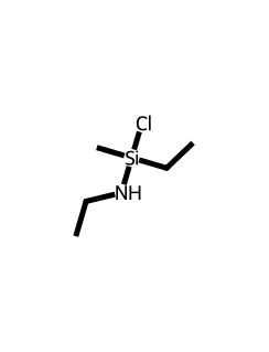 CCN[Si](C)(Cl)CC